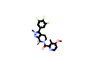 COc1ccnc(C(=O)N2CCc3c(nn(C)c3-c3cc(F)c(F)c(F)c3)[C@@H]2C)c1C